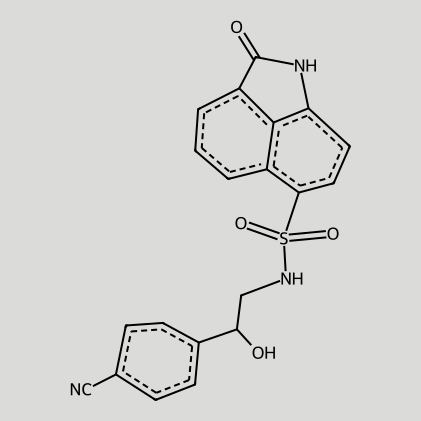 N#Cc1ccc(C(O)CNS(=O)(=O)c2ccc3c4c(cccc24)C(=O)N3)cc1